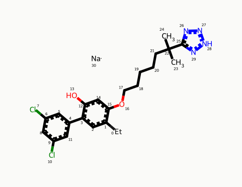 CCc1cc(-c2cc(Cl)cc(Cl)c2)c(O)cc1OCCCCCC(C)(C)c1nn[nH]n1.[Na]